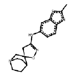 Cc1nc2ccc(NC3=NO[C@@]4(C3)CN3CCC4CC3)cc2s1